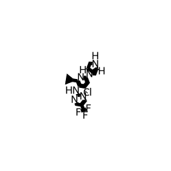 FC(F)(F)C1=CN(Cl)C(Nc2ccc(N3C[C@H]4C[C@@H]3CN4)nc2C2CC2)N=C1